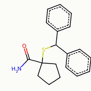 NC(=O)C1(SC(c2ccccc2)c2ccccc2)CCCC1